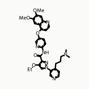 CCOc1cn(-c2cnccc2CCCN(C)C)nc1C(=O)Nc1ccc(Oc2ccnc3cc(OC)c(OC)cc23)cn1